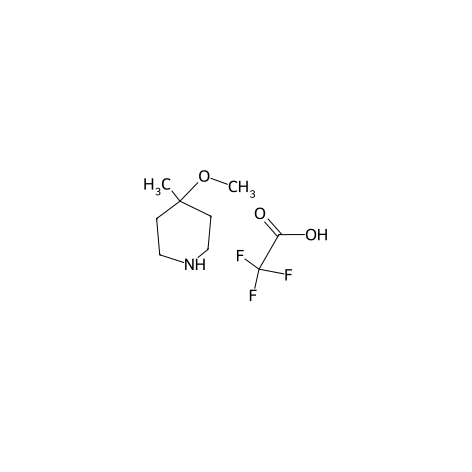 COC1(C)CCNCC1.O=C(O)C(F)(F)F